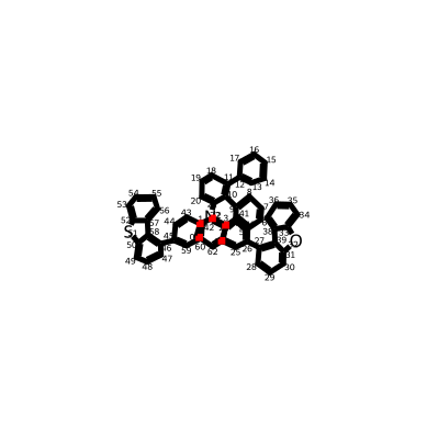 c1ccc(-c2ccccc2-c2c(-c3ccccc3)cccc2N(c2ccc(-c3cccc4oc5ccccc5c34)cc2)c2ccc(-c3cccc4sc5ccccc5c34)cc2)cc1